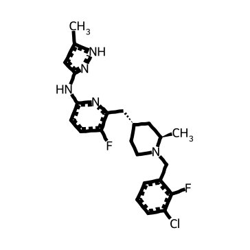 Cc1cc(Nc2ccc(F)c(C[C@H]3CCN(Cc4cccc(Cl)c4F)[C@H](C)C3)n2)n[nH]1